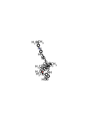 CC(=O)N[C@H]1[C@H](O[C@@H](OCCOCCn2cc(CNc3ccc(/N=N/c4ccc(N(C)C)cc4)cc3)nn2)[C@@](C)(CNCCNc2cccc3c(S(=O)(=O)O)cccc23)OC(C)=O)O[C@H](COC(C)=O)[C@@H](OC(C)=O)[C@@H]1OC(C)=O